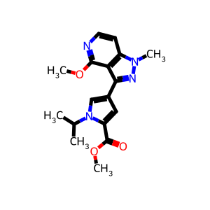 COC(=O)c1cc(-c2nn(C)c3ccnc(OC)c23)cn1C(C)C